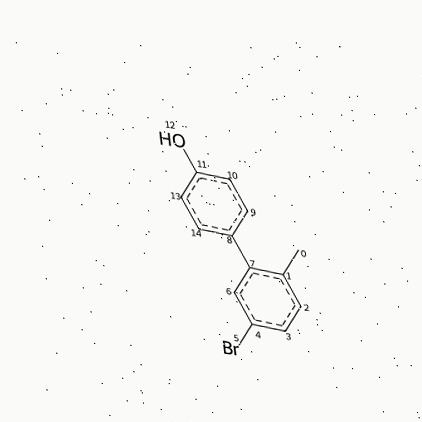 Cc1ccc(Br)cc1-c1ccc(O)cc1